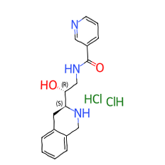 Cl.Cl.O=C(NC[C@@H](O)[C@@H]1Cc2ccccc2CN1)c1cccnc1